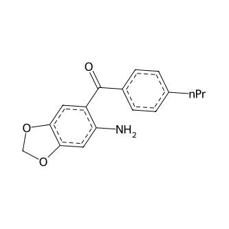 CCCc1ccc(C(=O)c2cc3c(cc2N)OCO3)cc1